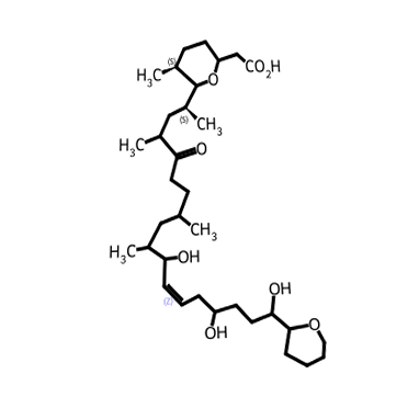 CC(CCC(=O)C(C)C[C@H](C)C1OC(CC(=O)O)CC[C@@H]1C)CC(C)C(O)/C=C\CC(O)CCC(O)C1CCCCO1